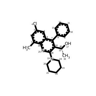 Cc1cc(Cl)cc2c(-c3ccccc3)c([C@@H](C)O)c(N3CCCCC3)nc12